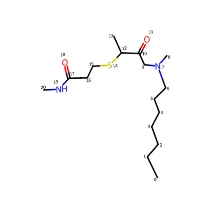 CCCCCCCN(C)CC(=O)C(C)SCCC(=O)NC